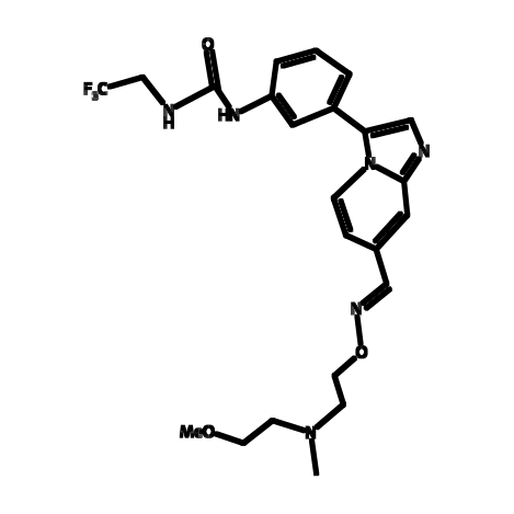 COCCN(C)CCON=Cc1ccn2c(-c3cccc(NC(=O)NCC(F)(F)F)c3)cnc2c1